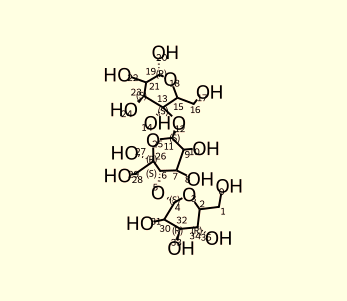 OCC1O[C@@H](O[C@H]2C(O)C(O)[C@H](O[C@]3(O)C(CO)O[C@@H](O)C(O)[C@@H]3O)O[C@]2(O)CO)C(O)[C@H](O)[C@H]1O